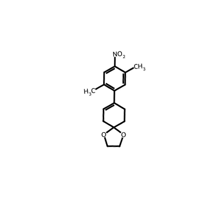 Cc1cc([N+](=O)[O-])c(C)cc1C1=CCC2(CC1)OCCO2